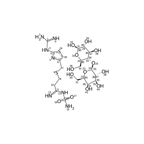 N=C(N)Nc1nc(CSCCC(=N)NS(N)(=O)=O)cs1.OC[C@H]1O[C@@H](O[C@H]2[C@H](O)[C@@H](O)[C@H](O)O[C@@H]2CO)[C@H](O)[C@@H](O)[C@H]1O